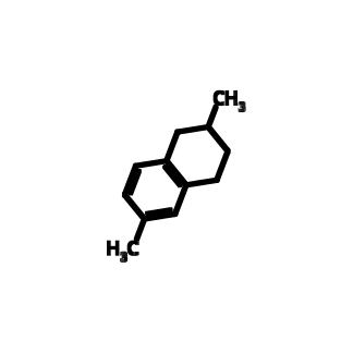 Cc1ccc2c(c1)CCC(C)C2